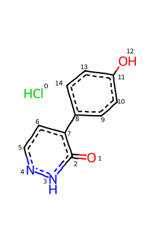 Cl.O=c1[nH]nccc1-c1ccc(O)cc1